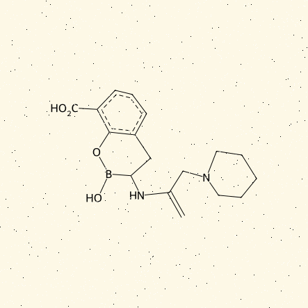 C=C(CN1CCCCC1)NC1Cc2cccc(C(=O)O)c2OB1O